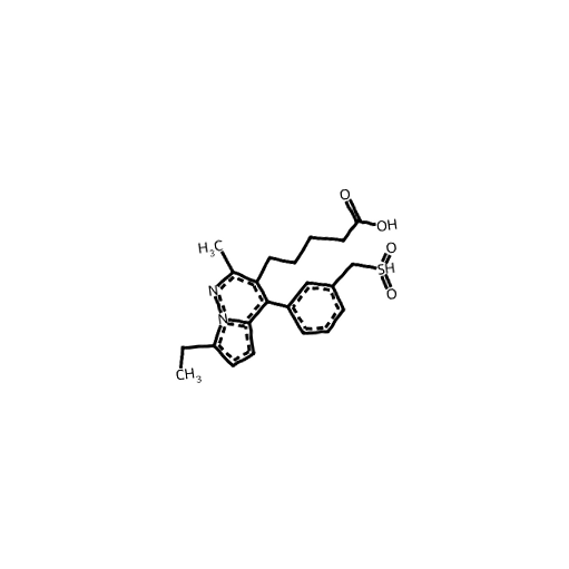 CCc1ccc2c(-c3cccc(C[SH](=O)=O)c3)c(CCCCC(=O)O)c(C)nn12